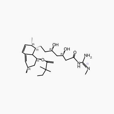 C=C(O[C@H]1C[C@@H](C)C=C2C=C[C@H](C)[C@H](CC[C@@H](O)C[C@@H](O)CC(=O)N/C(N)=N\C)C21)C(C)(C)CC